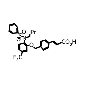 CC(C)CN(c1ccc(C(F)(F)F)cc1OCc1ccc(C=CC(=O)O)cc1)S(=O)(=O)c1ccccc1